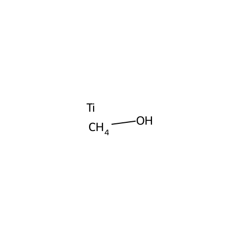 C.CO.[Ti]